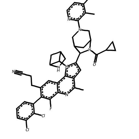 Cc1c(F)ccnc1N1CC2CC(C1)N(C(=O)C1CC1)C2c1cc2c(C)nc3c(F)c(-c4cccc(Cl)c4Cl)c(CCC#N)cc3c2n1C1C2CNC1C2